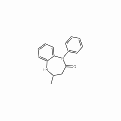 CC1CC(=O)N(c2ccccc2)c2ccccc2N1